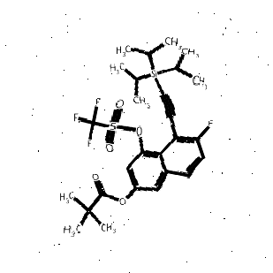 CC(C)[Si](C#Cc1c(F)ccc2cc(OC(=O)C(C)(C)C)cc(OS(=O)(=O)C(F)(F)F)c12)(C(C)C)C(C)C